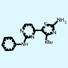 CCC(C)c1nc(N)sc1-c1ccnc(Nc2ccccc2)n1